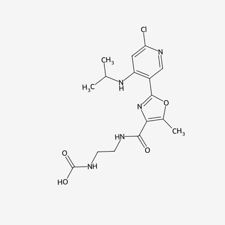 Cc1oc(-c2cnc(Cl)cc2NC(C)C)nc1C(=O)NCCNC(=O)O